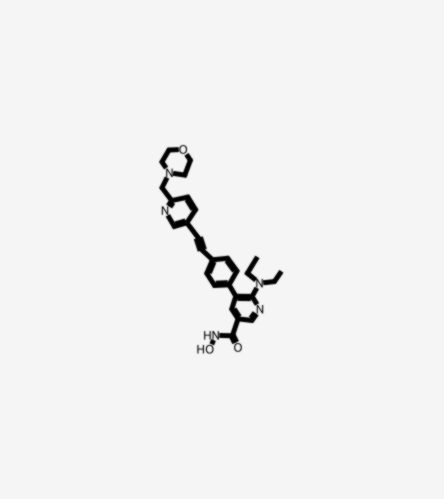 CCN(CC)c1ncc(C(=O)NO)cc1-c1ccc(C#Cc2ccc(CN3CCOCC3)nc2)cc1